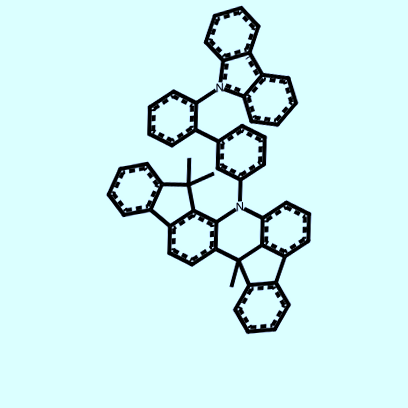 CC1(C)c2ccccc2-c2ccc3c(c21)N(c1cccc(-c2ccccc2-n2c4ccccc4c4ccccc42)c1)c1cccc2c1C3(C)c1ccccc1-2